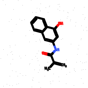 C=C(C)C(=O)Nc1cc(O)c2ccccc2c1